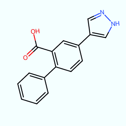 O=C(O)c1cc(-c2cn[nH]c2)ccc1-c1ccccc1